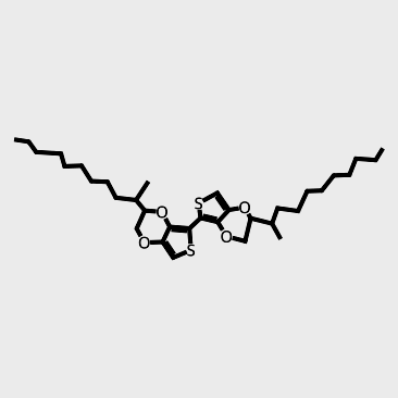 CCCCCCCCCC(C)C1COc2c(csc2-c2scc3c2OC(C(C)CCCCCCCCC)CO3)O1